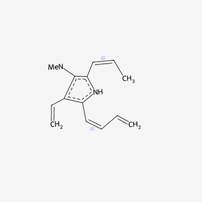 C=C/C=C\c1[nH]c(/C=C\C)c(NC)c1C=C